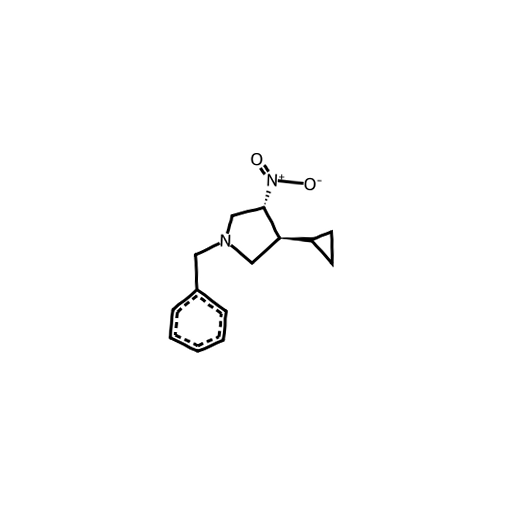 O=[N+]([O-])[C@H]1CN(Cc2ccccc2)C[C@@H]1C1CC1